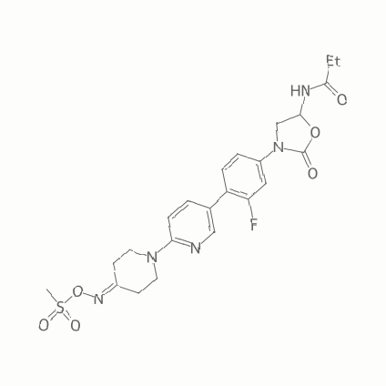 CCC(=O)NC1CN(c2ccc(-c3ccc(N4CCC(=NOS(C)(=O)=O)CC4)nc3)c(F)c2)C(=O)O1